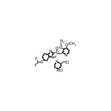 COc1ccnc(C[S+]([O-])c2nc3ccc(OC(F)F)cc3[nH]2)c1OC.Cl.ClCc1ccccn1